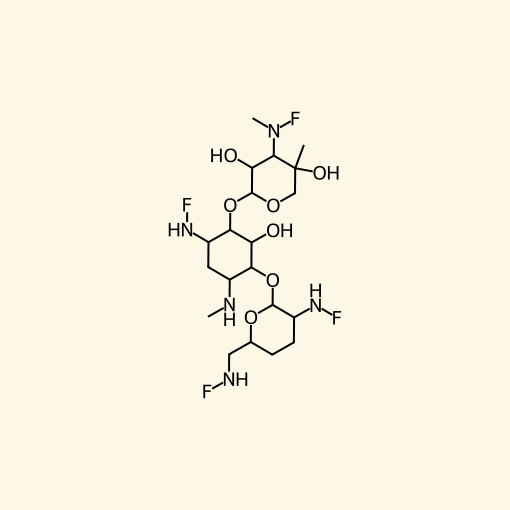 CNC1CC(NF)C(OC2OCC(C)(O)C(N(C)F)C2O)C(O)C1OC1OC(CNF)CCC1NF